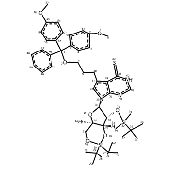 COc1ccc(C(OCCCc2cn([C@@H]3O[C@@H]4CO[Si](C(C)(C)C)(C(C)(C)C)O[C@H]4[C@H]3O[Si](C)(C)C(C)(C)C)c3nc[nH]c(=S)c23)(c2ccccc2)c2ccc(OC)cc2)cc1